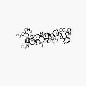 C=C(C)C[C@@H]1CC[C@]2(N)CC[C@]3(C)[C@H](CC[C@@H]4[C@@]5(C)CC=C(C6=CC[C@](COc7ncccc7C#N)(C(=O)OCC)CC6)C(C)(C)[C@@H]5CC[C@]43C)[C@@H]12